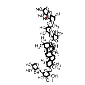 C[C@@H]1O[C@@H](O[C@H]2[C@H](OC(=O)[C@]34CCC(C)(C)C[C@H]3C3=CCC5[C@@]6(C)CC[C@H](O[C@@H]7O[C@H](CO[C@@H]8OC[C@H](O)[C@H](O)[C@H]8O)[C@@H](O)[C@H](O)[C@H]7O)C(C)(C)C6CC[C@@]5(C)[C@]3(C)C[C@H]4O)OC[C@@H](O)[C@@H]2O)[C@H](O)[C@H](O)[C@H]1O[C@@H]1OC[C@H](O)[C@H](O[C@@H]2OC[C@@H](O)[C@H](O)[C@H]2O)[C@H]1O